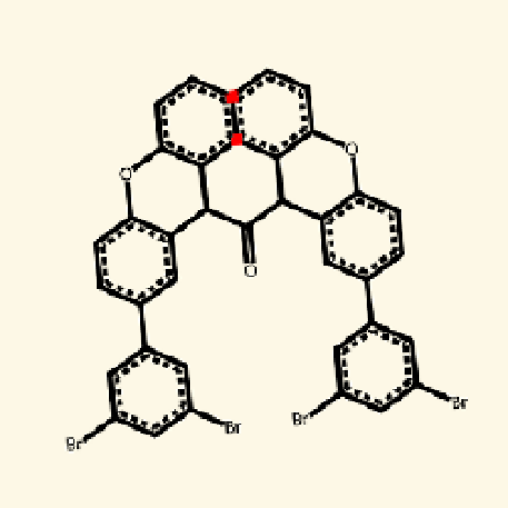 O=C(C1c2ccccc2Oc2ccc(-c3cc(Br)cc(Br)c3)cc21)C1c2ccccc2Oc2ccc(-c3cc(Br)cc(Br)c3)cc21